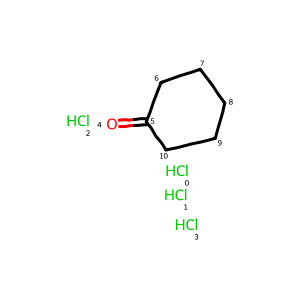 Cl.Cl.Cl.Cl.O=C1CCCCC1